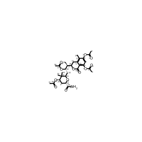 CC(=O)Oc1cc(OC(C)=O)c2c(c1C)CC([C@H](C)[C@H](CC1O[C@H](C(N)=O)C[C@@H](OC(C)=O)C1(C)C)OC(C)=O)OC2=O